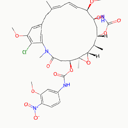 COc1cc(NC(=O)O[C@H]2CC(=O)N(C)c3cc(cc(OC)c3Cl)C/C(C)=C/C=C/[C@@H](OC)[C@@]3(O)C[C@H](OC(=O)N3)[C@@H](C)[C@@H]3O[C@@]23C)ccc1[N+](=O)[O-]